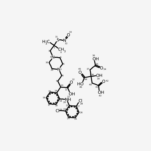 CC(C)(CN1CCN(CCC(C(=O)O)c2ccccc2Nc2c(Cl)cccc2Cl)CC1)SN=O.O=C(O)CC(O)(CC(=O)O)C(=O)O